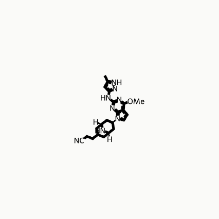 COc1nc(Nc2cc(C)[nH]n2)nc2c1ccn2[C@@H]1C[C@H]2CC(CCC#N)C[C@@H](C1)N2